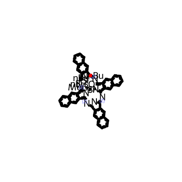 CCCC[Si](CCCC)(CCCC)O[Si]1(OC)n2c3c4cc5ccccc5cc4c2/N=C2N=C(/N=c4/c5cc6ccccc6cc5/c(n41)=N/C1=NC(=N\3)/c3cc4ccccc4cc31)c1cc3ccccc3cc1\2